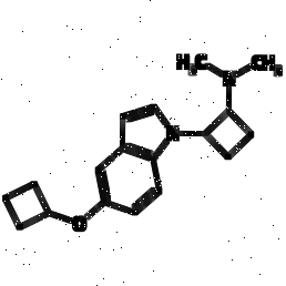 CN(C)C1CCC1n1ccc2cc(OC3CCC3)ccc21